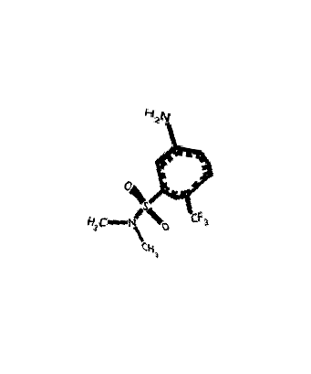 CN(C)S(=O)(=O)c1cc(N)ccc1C(F)(F)F